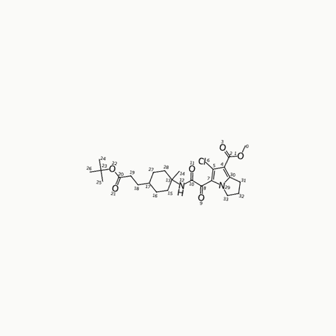 COC(=O)c1c(Cl)c(C(=O)C(=O)NC2(C)CCC(CCC(=O)OC(C)(C)C)CC2)n2c1CCC2